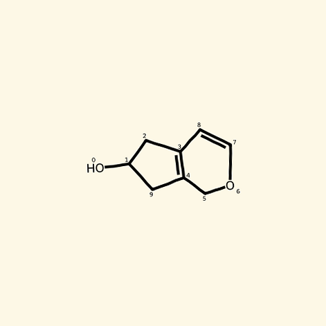 OC1CC2=C(COC=C2)C1